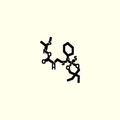 CCC1(CC)COP(=S)(N(SCNC(=O)ON=C(C)SC)C2CCCCC2)OC1